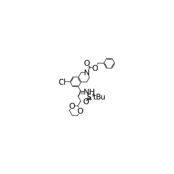 CC(C)(C)[S@+]([O-])N[C@@H](CCC1OCCCO1)c1cc(Cl)cc2c1CCN(C(=O)OCc1ccccc1)C2